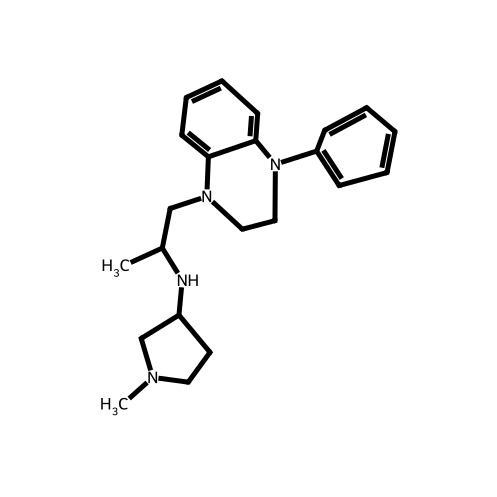 CC(CN1CCN(c2ccccc2)c2ccccc21)NC1CCN(C)C1